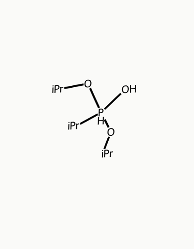 CC(C)O[PH](O)(OC(C)C)C(C)C